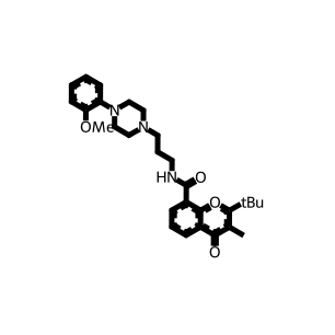 COc1ccccc1N1CCN(CCCNC(=O)c2cccc3c(=O)c(C)c(C(C)(C)C)oc23)CC1